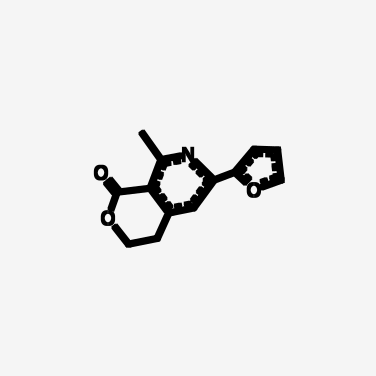 Cc1nc(-c2ccco2)cc2c1C(=O)OCC2